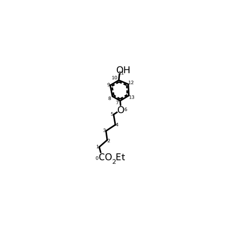 CCOC(=O)CCCCCOc1ccc(O)cc1